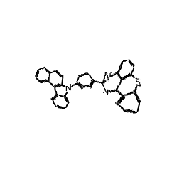 c1ccc2c(c1)Sc1cccc3nc(-c4ccc(-n5c6ccccc6c6c7ccccc7ccc65)cc4)nc-2c13